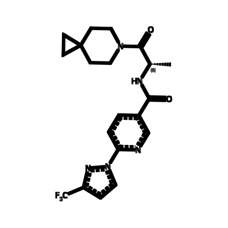 C[C@H](NC(=O)c1ccc(-n2ccc(C(F)(F)F)n2)nc1)C(=O)N1CCC2(CC1)CC2